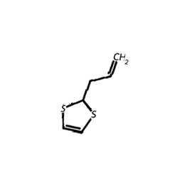 C=CCC1SC=CS1